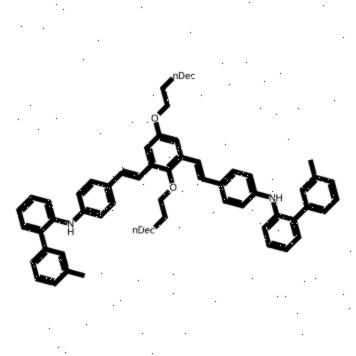 CCCCCCCCCCCCOc1cc(C=Cc2ccc(Nc3ccccc3-c3cccc(C)c3)cc2)c(OCCCCCCCCCCCC)c(C=Cc2ccc(Nc3ccccc3-c3cccc(C)c3)cc2)c1